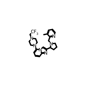 Cc1cccnc1CN1CCCC1c1cn2c(N3CCN(CC(F)(F)F)CC3)cccc2n1